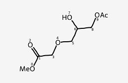 COC(=O)COCC(O)COC(C)=O